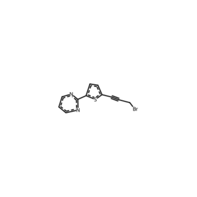 BrCC#Cc1ccc(-c2ncccn2)s1